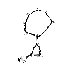 C[C]1CC1C1CCCCCCC1